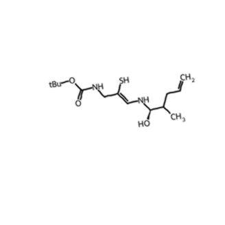 C=CCC(C)[C@@H](O)N/C=C(\S)CNC(=O)OC(C)(C)C